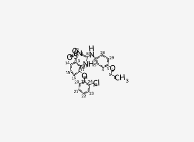 CCOc1ccc(NC2=NS(=O)(=O)c3cccc(Oc4ccccc4Cl)c3N2)cc1